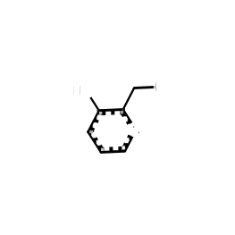 FCc1ncccc1S